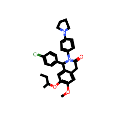 CCC(C)Oc1cc2c(cc1OC)CC(=O)N(c1ccc(N3CCCC3)cc1)C2c1ccc(Cl)cc1